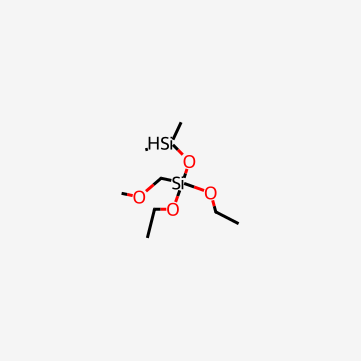 CCO[Si](COC)(OCC)O[SiH](C)C